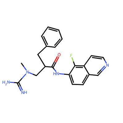 CN(CC(Cc1ccccc1)C(=O)Nc1ccc2cnccc2c1F)C(=N)N